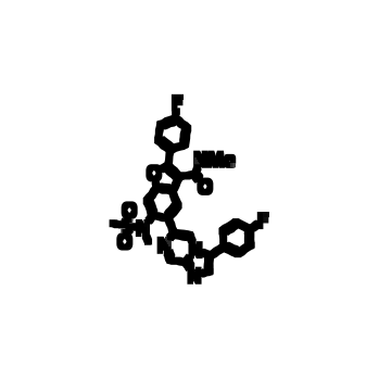 CNC(=O)c1c(-c2ccc(F)cc2)oc2cc(N(C)S(C)(=O)=O)c(-c3cn4c(-c5ccc(F)cc5)cnc4cn3)cc12